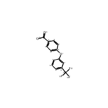 O=C(Cl)c1ccc(Oc2cccc(C(F)(F)F)c2)cc1